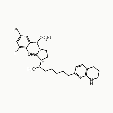 CCOC(=O)C(c1cc(C(C)C)cc(F)c1OC)N1CC[C@@H](N(C)CCCCCc2ccc3c(n2)NCCC3)C1